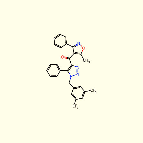 Cc1onc(-c2ccccc2)c1C(=O)c1nnn(Cc2cc(C(F)(F)F)cc(C(F)(F)F)c2)c1-c1ccccc1